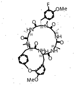 COc1ccc(C[C@H]2C(=O)N[C@@H](C)C(=O)N(C)[C@H]3Cc4ccc(cc4)Oc4cc(ccc4OC)C[C@H](NC3=O)C(=O)N[C@H](C)C(=O)N[C@@H](C)C(=O)N2C)cc1F